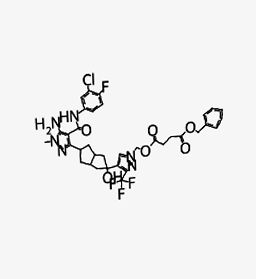 Cn1nc(C2CC3CC(O)(c4cn(COC(=O)CCC(=O)OCc5ccccc5)nc4C(F)(F)F)CC3C2)c(C(=O)Nc2ccc(F)c(Cl)c2)c1N